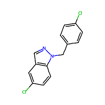 Clc1ccc(Cn2ncc3cc(Cl)ccc32)cc1